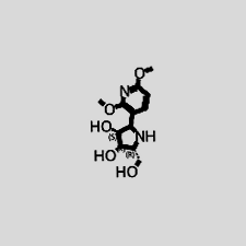 COc1ccc(C2N[C@H](CO)[C@@H](O)[C@H]2O)c(OC)n1